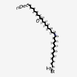 CCCCCCCCCCCCCCCCCC(=O)CCCCCCCC/C=C\CCCCCCCCCCCCNCC